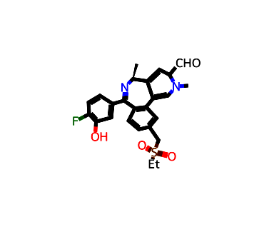 CCS(=O)(=O)Cc1ccc2c(c1)C1=CN(C)C(C=O)C=C1[C@H](C)N=C2c1ccc(F)c(O)c1